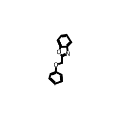 [c]1ccc(OCc2nc3ccccc3o2)cc1